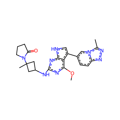 COc1nc(NC2CC(C)(N3CCCC3=O)C2)nc2[nH]cc(-c3ccc4nnc(C)n4c3)c12